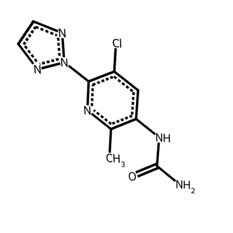 Cc1nc(-n2nccn2)c(Cl)cc1NC(N)=O